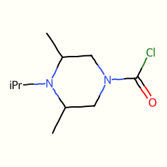 CC(C)N1C(C)CN(C(=O)Cl)CC1C